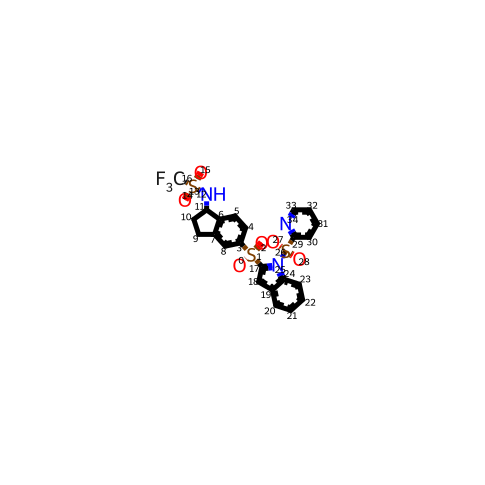 O=S(=O)(c1ccc2c(c1)CCC2NS(=O)(=O)C(F)(F)F)c1cc2ccccc2n1S(=O)(=O)c1ccccn1